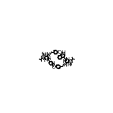 CC(C)n1cnc2c(NCCc3ccc(O)cc3)nc(-c3ccc(Oc4ccc(CCNc5nc(-c6cncc7ccccc67)nc6c5ncn6C(C)C)cc4)nc3)nc21